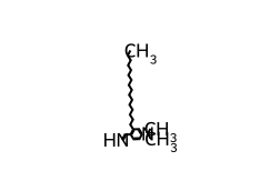 CCCCCCCCCCCCCCCCc1cc(N(C)C)ccc1C=N